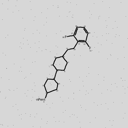 CCCCCC1CCC(C2CCC(CCc3c(F)cccc3F)CC2)CC1